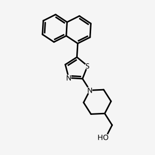 OCC1CCN(c2ncc(-c3cccc4ccccc34)s2)CC1